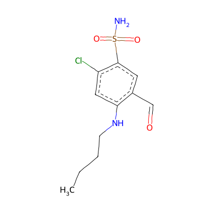 CCCCNc1cc(Cl)c(S(N)(=O)=O)cc1C=O